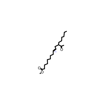 CCCCCCC(C/C=C/CCCCCCCC(=O)OC)C(C)=O